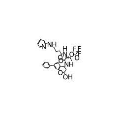 CC(OC(=O)C(F)(F)F)[C@H](NC(=O)CCCCNc1ccccn1)C(=O)NC(CC(=O)O)c1ccc(-c2ccccc2)cc1